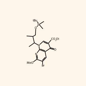 CCOC(=O)c1cn(C(C)C(C)CO[Si](C)(C)C(C)(C)C)c2nc(OC)c(Br)cc2c1=O